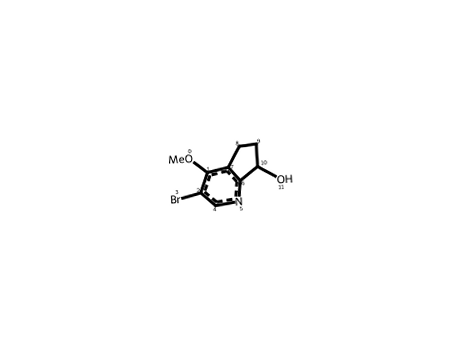 COc1c(Br)cnc2c1CCC2O